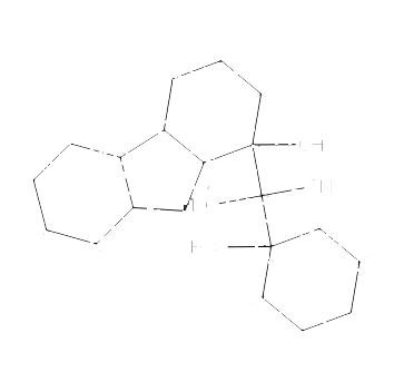 CC1(C(C)(C)C2(C)CCCC3C4CCCCC4CC32)CCCCC1